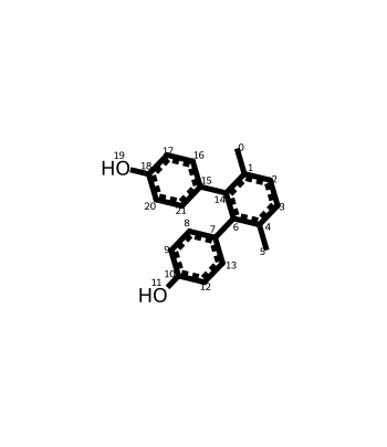 Cc1ccc(C)c(-c2ccc(O)cc2)c1-c1ccc(O)cc1